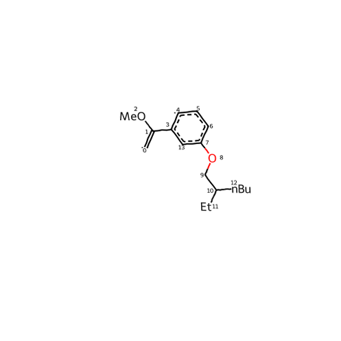 [CH]=C(OC)c1[c]ccc(OCC(CC)CCCC)c1